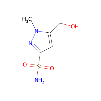 Cn1nc(S(N)(=O)=O)cc1CO